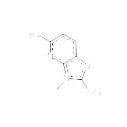 Cn1c(C(C)(C)C)nc2ccc(C(C)(C)C)nc21